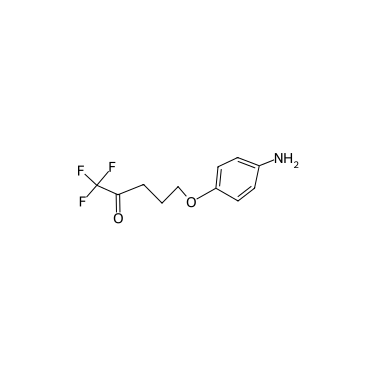 Nc1ccc(OCCCC(=O)C(F)(F)F)cc1